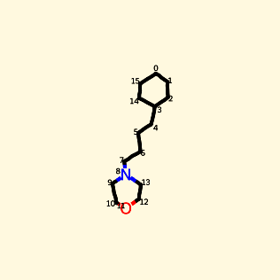 C1CCC(CCCCN2CCOCC2)CC1